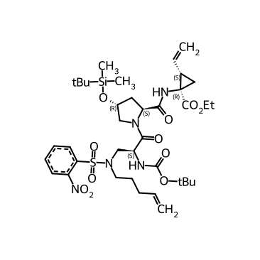 C=CCCCN(C[C@H](NC(=O)OC(C)(C)C)C(=O)N1C[C@H](O[Si](C)(C)C(C)(C)C)C[C@H]1C(=O)N[C@]1(C(=O)OCC)C[C@H]1C=C)S(=O)(=O)c1ccccc1[N+](=O)[O-]